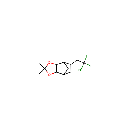 CC1(C)OC2C3CC(CC(F)(F)Br)C(C3)C2O1